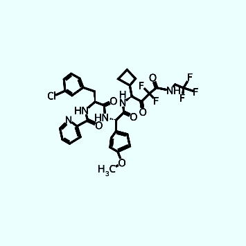 COc1ccc([C@H](NC(=O)[C@H](Cc2cccc(Cl)c2)NC(=O)c2ccccn2)C(=O)N[C@H](C(=O)C(F)(F)C(=O)NCC(F)(F)F)C2CCC2)cc1